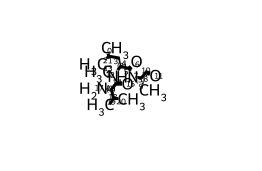 CC(C)C[C@@H](C(=O)N[C@@H](C)[C]=O)N(C)C(=O)[C@@H](N)C(C)C